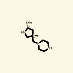 CS[C@@H]1C[C@](F)(CN2CCNCC2)CN1